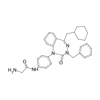 NCC(=O)Nc1ccc(N2C(=O)N(Cc3ccccc3)N=C(CC3CCCCC3)c3ccccc32)cc1